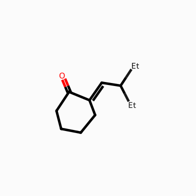 CCC(C=C1CCCCC1=O)CC